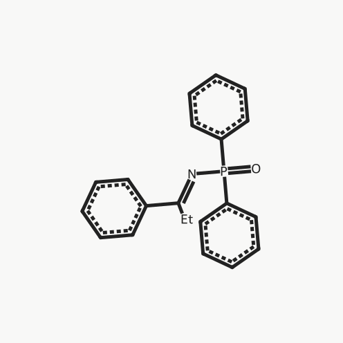 CC/C(=N\P(=O)(c1ccccc1)c1ccccc1)c1ccccc1